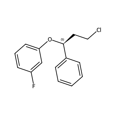 Fc1cccc(O[C@@H](CCCl)c2ccccc2)c1